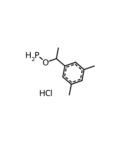 Cc1cc(C)cc(C(C)OP)c1.Cl